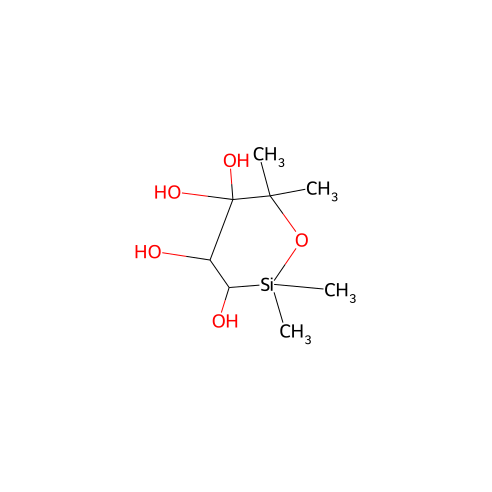 CC1(C)O[Si](C)(C)C(O)C(O)C1(O)O